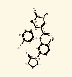 CN1C=C(C(=O)Nc2cc(N3CCCC3=O)ccc2Br)[C@H](c2ccc(F)cc2)NC1=O